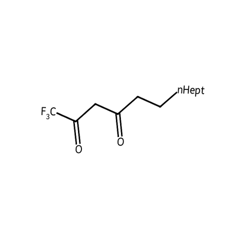 CCCCCCCCCC(=O)CC(=O)C(F)(F)F